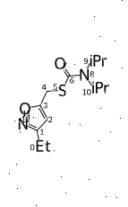 CCc1cc(CSC(=O)N(C(C)C)C(C)C)on1